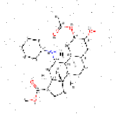 COC(=O)C1CC[C@H]2[C@@H]3CCC4CC(O)C(OC(C)=O)C[C@]4(C)[C@@H]3C(NC3CCCCC3)C[C@]12C